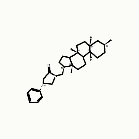 C[C@H]1CC[C@@H]2C3CC[C@@]4(C)C(CC[C@@H]4CN4C[C@H](c5ccccc5)CC4=O)[C@@H]3CC[C@@H]2C1